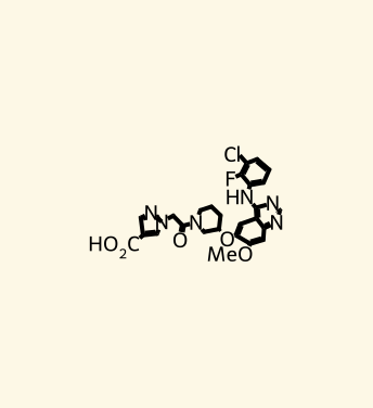 COc1cc2ncnc(Nc3cccc(Cl)c3F)c2cc1O[C@@H]1CCCN(C(=O)Cn2cc(C(=O)O)cn2)C1